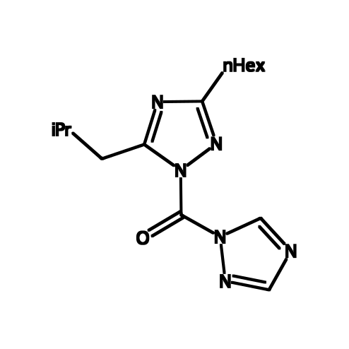 CCCCCCc1nc(CC(C)C)n(C(=O)n2cncn2)n1